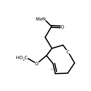 CNC(=O)CC1CCCC/C=C/C1OC(=O)O